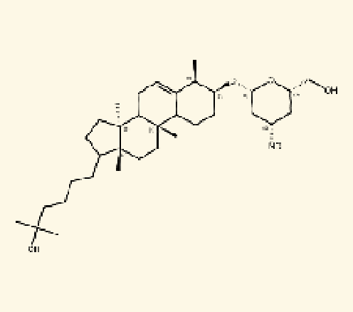 C[C@@H]1C2=CCC3[C@@](C)(CC[C@]4(C)C(CCCCC(C)(C)O)CC[C@@]34C)C2CC[C@@H]1O[C@H]1C[C@@H](N=O)C[C@@H](CO)O1